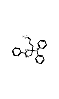 C=CCCC(CC(C)C)(NC(=O)c1ccccc1)[SiH](c1ccccc1)c1ccccc1